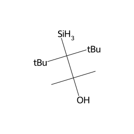 CC(C)(C)C([SiH3])(C(C)(C)C)C(C)(C)O